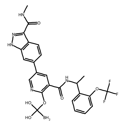 BC(O)(O)Oc1ncc(-c2ccc3c(C(=O)NC)n[nH]c3c2)cc1C(=O)NC(C)c1ccccc1OC(F)(F)F